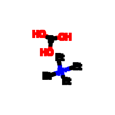 CC[N+](CC)(CC)CC.OB(O)O